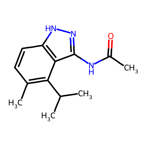 CC(=O)Nc1n[nH]c2ccc(C)c(C(C)C)c12